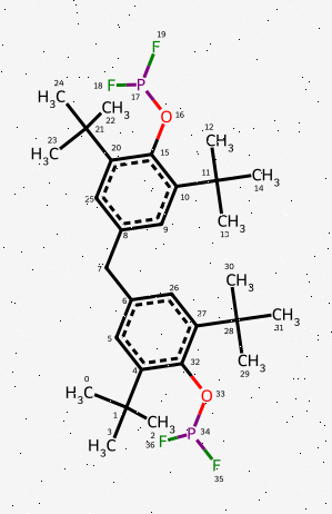 CC(C)(C)c1cc(Cc2cc(C(C)(C)C)c(OP(F)F)c(C(C)(C)C)c2)cc(C(C)(C)C)c1OP(F)F